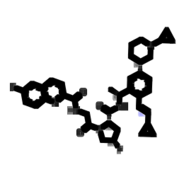 C[C@H](NC(=O)[C@@H]1C[C@@H](F)CN1C(=O)CNC(=O)c1ccc2cc(F)ccc2n1)c1cc([C@@H]2CCCN(C3CC3)C2)ccc1/C=C/C1CC1